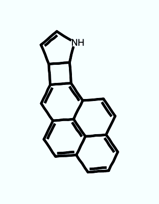 C1=CC2c3cc4ccc5cccc6ccc(c3C2N1)c4c56